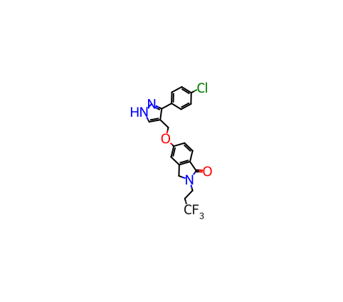 O=C1c2ccc(OCc3c[nH]nc3-c3ccc(Cl)cc3)cc2CN1CCC(F)(F)F